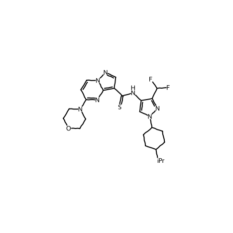 CC(C)C1CCC(n2cc(NC(=S)c3cnn4ccc(N5CCOCC5)nc34)c(C(F)F)n2)CC1